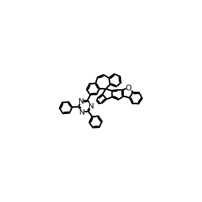 C1=Cc2ccc(-c3nc(-c4ccccc4)nc(-c4ccccc4)n3)cc2C2(c3ccccc31)c1ccccc1-c1cc3c(cc12)oc1ccccc13